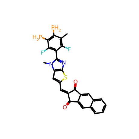 Cc1c(F)c(-c2nc3sc(C=C4C(=O)c5cc6ccccc6cc5C4=O)cc3n2C)c(F)c(P)c1P